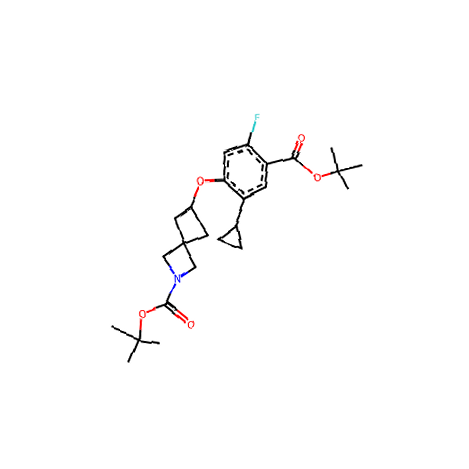 CC(C)(C)OC(=O)c1cc(C2CC2)c(OC2CC3(C2)CN(C(=O)OC(C)(C)C)C3)cc1F